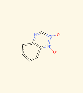 [O-][n+]1cnc2ccccc2[n+]1[O-]